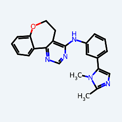 Cc1ncc(-c2cccc(Nc3ncnc4c3CCOc3ccccc3-4)c2)n1C